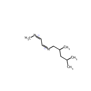 C/N=C\C=N/CC(C)CC(C)C